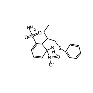 CCC(CSc1ccccc1)C1C(S(N)(=O)=O)=CC=CC1(N)[N+](=O)[O-]